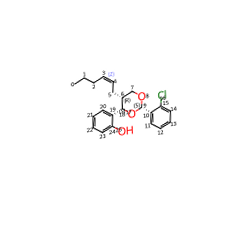 CCC/C=C\C[C@@H]1CO[C@H](c2ccccc2Cl)O[C@@H]1c1ccccc1O